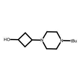 CC(C)(C)N1CCN(C2CC(O)C2)CC1